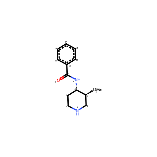 CO[C@H]1CNCC[C@@H]1NC(=O)c1ccccc1